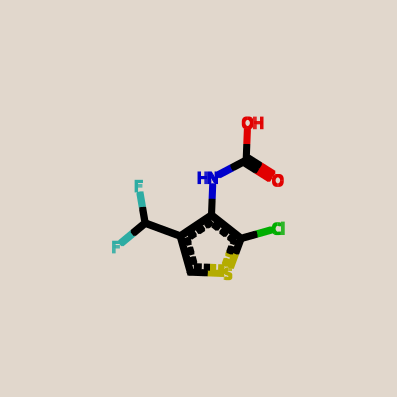 O=C(O)Nc1c(C(F)F)csc1Cl